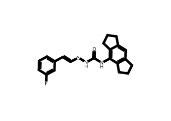 O=C(NS/C=C/c1cccc(F)c1)Nc1c2c(cc3c1CCC3)CCC2